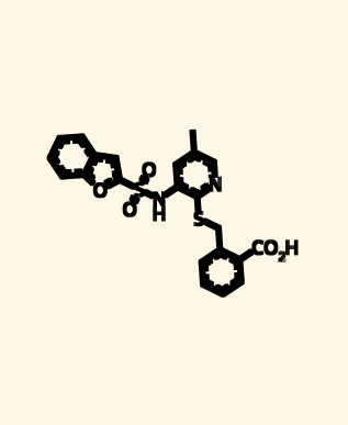 Cc1cnc(SCc2ccccc2C(=O)O)c(NS(=O)(=O)c2cc3ccccc3o2)c1